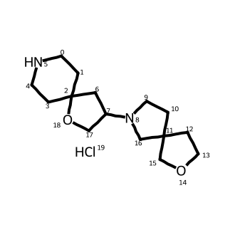 C1CC2(CCN1)CC(N1CCC3(CCOC3)C1)CO2.Cl